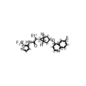 CCC(C(=O)Nc1ccnn1C(F)(F)F)[C@H]1[C@@H]2C[C@H](Oc3ccnc4ccc(F)cc34)C[C@@H]21